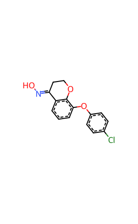 O/N=C1\CCOc2c(Oc3ccc(Cl)cc3)cccc21